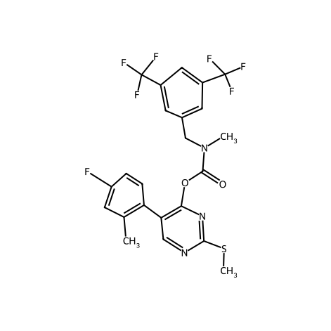 CSc1ncc(-c2ccc(F)cc2C)c(OC(=O)N(C)Cc2cc(C(F)(F)F)cc(C(F)(F)F)c2)n1